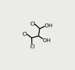 OC(Cl)C(O)C(Cl)Cl